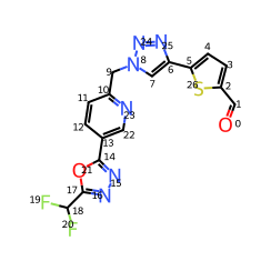 O=Cc1ccc(-c2cn(Cc3ccc(-c4nnc(C(F)F)o4)cn3)nn2)s1